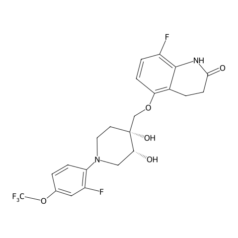 O=C1CCc2c(OC[C@]3(O)CCN(c4ccc(OC(F)(F)F)cc4F)C[C@H]3O)ccc(F)c2N1